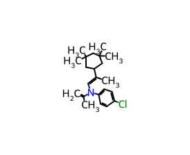 C=C(C)N(/C=C(\C)C1CC(C)(C)CC(C)(C)C1)c1ccc(Cl)cc1